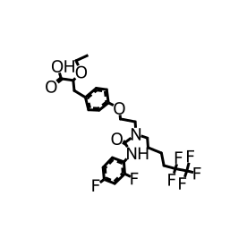 CCOC(Cc1ccc(OCCN(CCCCC(F)(F)C(F)(F)F)C(=O)Nc2ccc(F)cc2F)cc1)C(=O)O